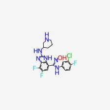 ON=C(Nc1ccc(F)c(Cl)c1)c1cc(F)c(F)c2nc(NC3CCCNC3)[nH]c12